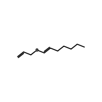 C=CCOC=CCCCCC